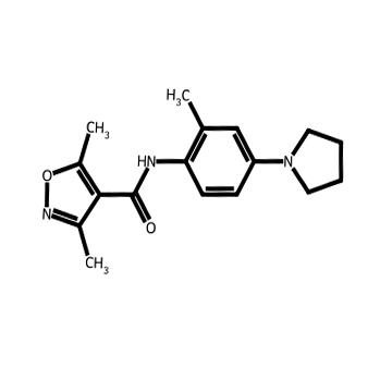 Cc1cc(N2CCCC2)ccc1NC(=O)c1c(C)noc1C